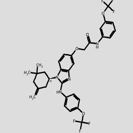 C=C1C[C@H](n2c(Nc3ccc(OC(F)(F)F)cc3)nc3cc(OCC(=O)Nc4cccc(OC(F)(F)F)c4)ccc32)CC(C)(C)C1